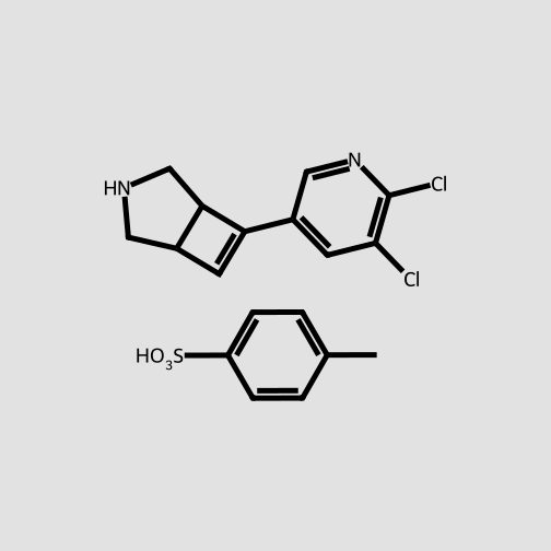 Cc1ccc(S(=O)(=O)O)cc1.Clc1cc(C2=CC3CNCC23)cnc1Cl